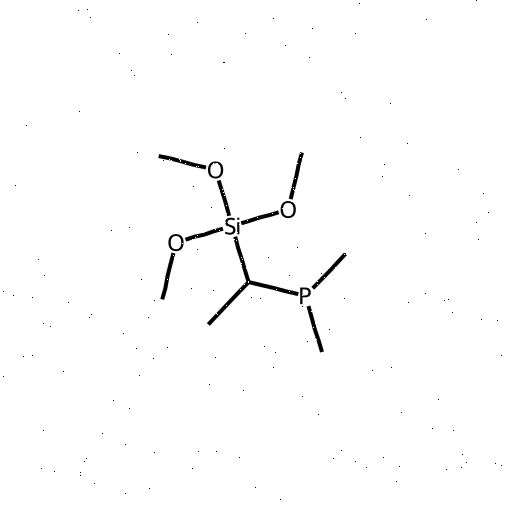 CO[Si](OC)(OC)C(C)P(C)C